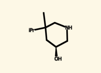 CC(C)C1(C)CNC[C@@H](O)C1